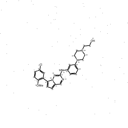 COc1ccc(Cl)cc1-c1ccc2cnc(Nc3cccc(N4CCN(CCO)CC4)c3)nn12